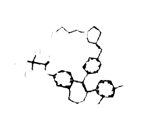 CC(C)(C)C(=O)Oc1ccc2c(c1)CCCC(c1ccc(Cl)cc1Cl)=C2c1ccc(C=C2CCN(CCCF)C2)cc1